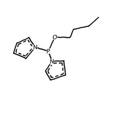 CCCCOP(n1cccc1)n1cccc1